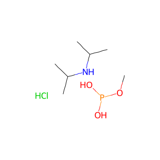 CC(C)NC(C)C.COP(O)O.Cl